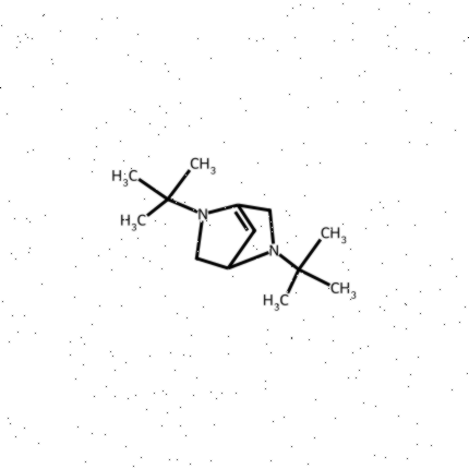 CC(C)(C)N1CC2C=C1CN2C(C)(C)C